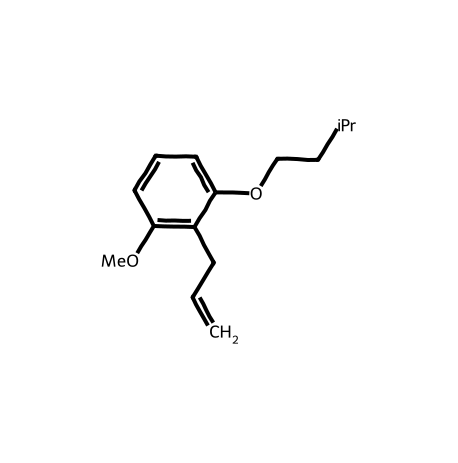 C=CCc1c(OC)cccc1OCCC(C)C